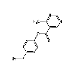 Cc1ncncc1C(=O)Oc1ccc(CC(C)C)cc1